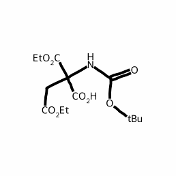 CCOC(=O)CC(NC(=O)OC(C)(C)C)(C(=O)O)C(=O)OCC